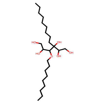 CCCCCCCCCOC(C(O)CO)C(O)(CCCCCCCCC)C(O)CO